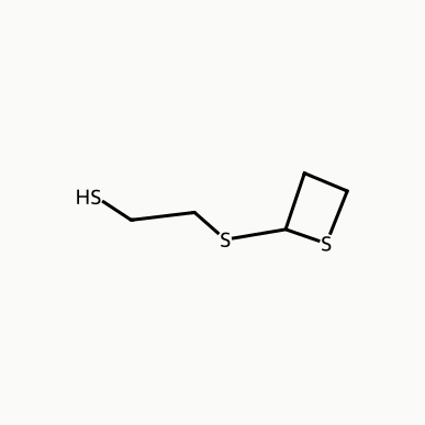 SCCSC1CCS1